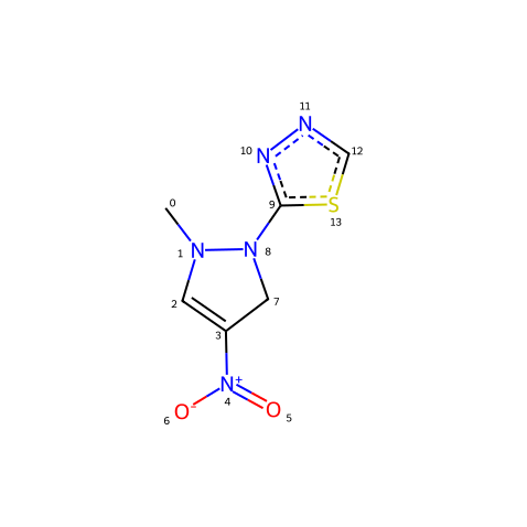 CN1C=C([N+](=O)[O-])CN1c1nncs1